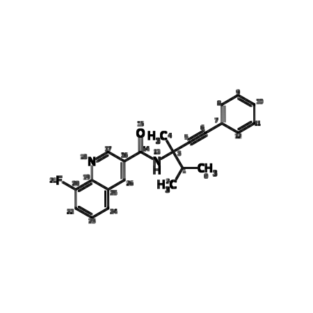 CC(C)C(C)(C#Cc1ccccc1)NC(=O)c1cnc2c(F)cccc2c1